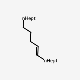 [CH2]CCCCCCCCC/C=C/CCCCCCC